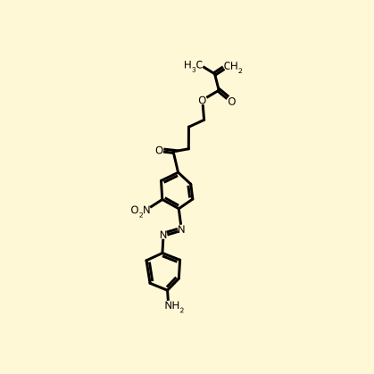 C=C(C)C(=O)OCCCC(=O)c1ccc(N=Nc2ccc(N)cc2)c([N+](=O)[O-])c1